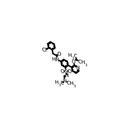 CC(C)Oc1ncccc1-c1ccc(NC(=O)Cc2ccccc2Cl)cc1S(=O)(=O)N=CN(C)C